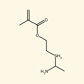 C=C(C)C(=O)OCC[SiH2]C(C)N